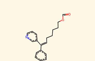 O=COCCCCCC=C(c1ccccc1)c1cccnc1